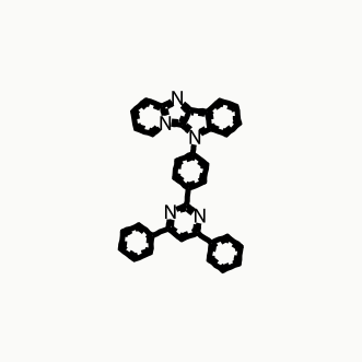 c1ccc(-c2cc(-c3ccccc3)nc(-c3ccc(-n4c5ccccc5c5nc6ccccn6c54)cc3)n2)cc1